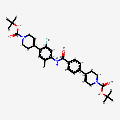 Cc1cc(C2=CCN(C(=O)OC(C)(C)C)CC2)c(F)cc1NC(=O)c1ccc(C2=CCN(C(=O)OC(C)(C)C)CC2)cc1